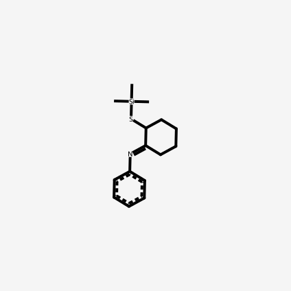 C[Si](C)(C)SC1CCCC/C1=N\c1ccccc1